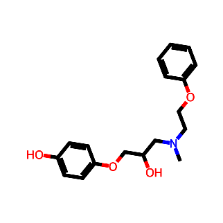 CN(CCOc1ccccc1)CC(O)COc1ccc(O)cc1